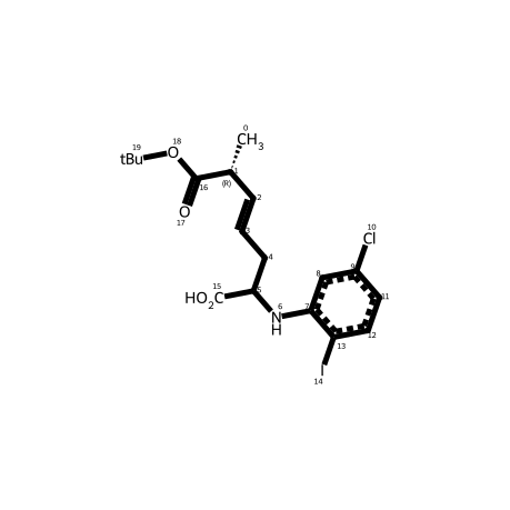 C[C@H](C=CCC(Nc1cc(Cl)ccc1I)C(=O)O)C(=O)OC(C)(C)C